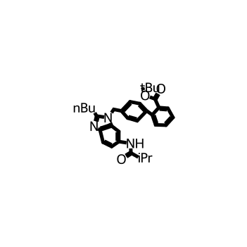 CCCCc1nc2ccc(NC(=O)C(C)C)cc2n1Cc1ccc(-c2ccccc2C(=O)OC(C)(C)C)cc1